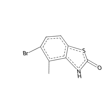 Cc1c(Br)ccc2sc(=O)[nH]c12